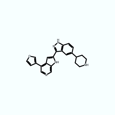 c1cc(-c2cncc3[nH]c(-c4n[nH]c5ccc(C6CCNCC6)cc45)cc23)co1